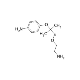 CC(C)(Oc1ccc(N)cc1)SOCCN